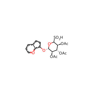 CC(=O)O[C@@H]1[C@@H](OC(C)=O)[C@H](Oc2ccc3cccoc2-3)OC(S(=O)(=O)O)[C@H]1OC(C)=O